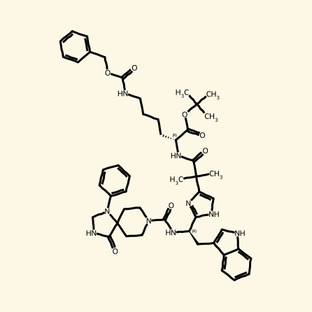 CC(C)(C)OC(=O)[C@@H](CCCCNC(=O)OCc1ccccc1)NC(=O)C(C)(C)c1c[nH]c([C@@H](Cc2c[nH]c3ccccc23)NC(=O)N2CCC3(CC2)C(=O)NCN3c2ccccc2)n1